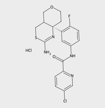 Cl.NC1=N[C@]2(c3cc(NC(=O)c4ccc(Cl)cn4)ccc3F)CCOCC2CS1